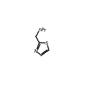 CCCCc1n[c]cs1